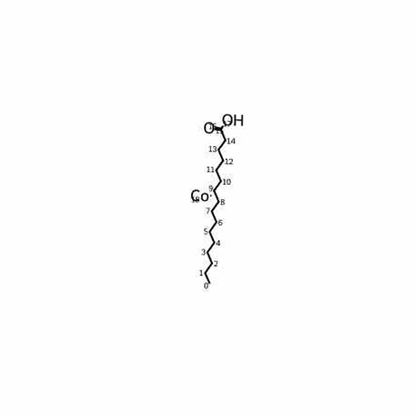 CCCCCCCCCCCCCCCC(=O)O.[Co]